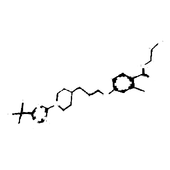 Cc1cc(OCCCC2CCN(c3noc(C(C)(C)F)n3)CC2)ccc1C(=O)NCCO